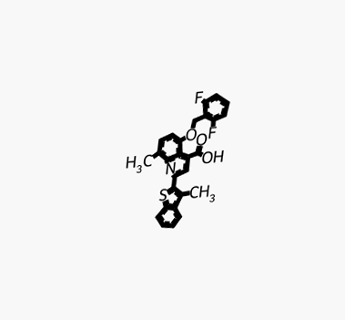 Cc1c(-c2cc(C(=O)O)c3c(OCc4c(F)cccc4F)ccc(C)c3n2)sc2ccccc12